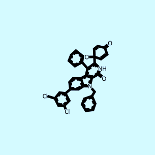 O=C1C=CC(O)(c2[nH]c(=O)c3c(c2-c2ccccc2)c2ccc(-c4cc(Cl)cc(Cl)c4)cc2n3Cc2ccccc2)C=C1